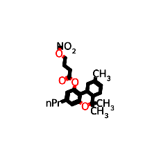 CCCc1cc(OC(=O)CCCO[N+](=O)[O-])c2c(c1)OC(C)(C)C1CC=C(C)CC21